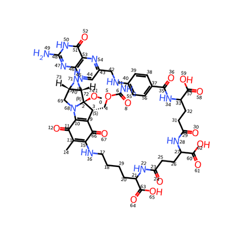 CO[C@@]12[C@H](COC(N)=O)C3=C(C(=O)C(C)=C(NCCCCC(NC(=O)CCC(NC(=O)CCC(NC(=O)c4ccc(NCc5cnc6nc(N)[nH]c(=O)c6n5)cc4)C(=O)O)C(=O)O)C(=O)O)C3=O)N1C[C@@H]1N[C@@H]12